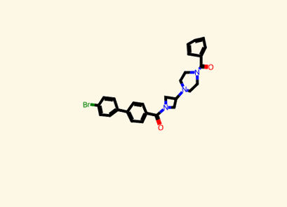 O=C(c1ccccc1)N1CCN(C2CN(C(=O)c3ccc(-c4ccc(Br)cc4)cc3)C2)CC1